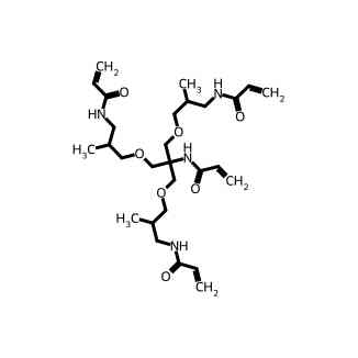 C=CC(=O)NCC(C)COCC(COCC(C)CNC(=O)C=C)(COCC(C)CNC(=O)C=C)NC(=O)C=C